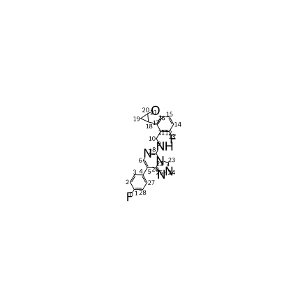 Fc1ccc(-c2cnc(NCc3c(F)ccc4c3C3CC3O4)n3cnnc23)cc1